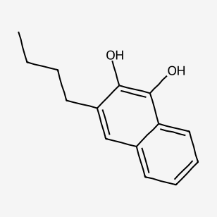 CCCCc1cc2ccccc2c(O)c1O